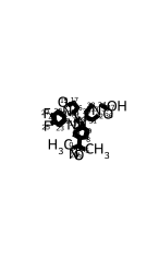 Cc1noc(C)c1-c1ccc2c(c1)nc([C@@H]1CCC(=O)N1c1ccc(F)c(F)c1)n2C1CCN(CC(=O)O)CC1